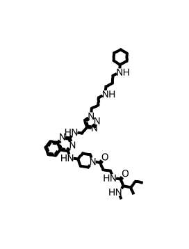 CCC(C)C(NC)C(=O)NCCC(=O)N1CCC(Nc2nc(NCc3cn(CCCNCCCNC4CCCCC4)nn3)nc3ccccc23)CC1